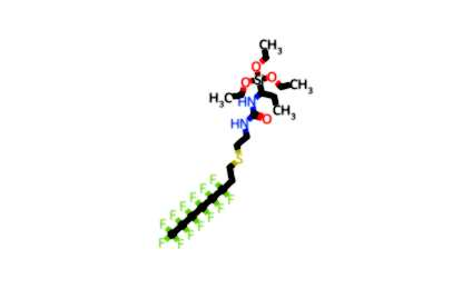 CCO[Si](OCC)(OCC)C(CC)NC(=O)NCCSCCC(F)(F)C(F)(F)C(F)(F)C(F)(F)C(F)(F)C(F)(F)F